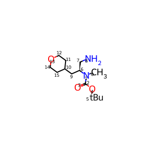 CN(C(=O)OC(C)(C)C)[C@H](CN)CC1CCOCC1